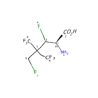 N[C@H](C(=O)O)C(F)C(CF)(C(F)(F)F)C(F)(F)F